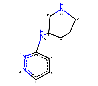 c1cnnc(NC2CCCNC2)c1